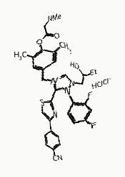 CCC(O)CN1C=[N+](Cc2cc(C)c(OC(=O)CNC)c(C)c2)C(c2nc(-c3ccc(C#N)cc3)cs2)N1c1ccc(F)cc1F.Cl.[Cl-]